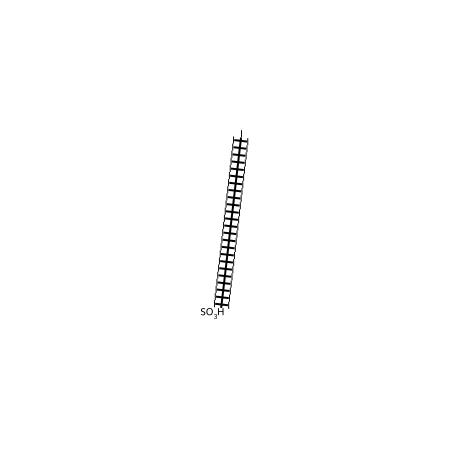 O=S(=O)(O)C(I)(I)C(I)(I)C(I)(I)C(I)(I)C(I)(I)C(I)(I)C(I)(I)C(I)(I)C(I)(I)C(I)(I)C(I)(I)C(I)(I)C(I)(I)C(I)(I)C(I)(I)C(I)(I)C(I)(I)C(I)(I)C(I)(I)C(I)(I)C(I)(I)C(I)(I)C(I)(I)C(I)(I)I